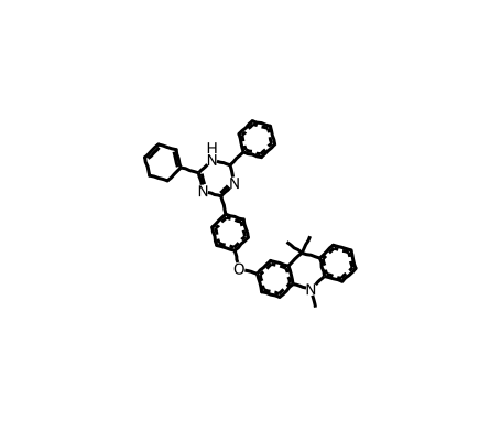 CN1c2ccccc2C(C)(C)c2cc(Oc3ccc(C4=NC(c5ccccc5)NC(C5=CC=CCC5)=N4)cc3)ccc21